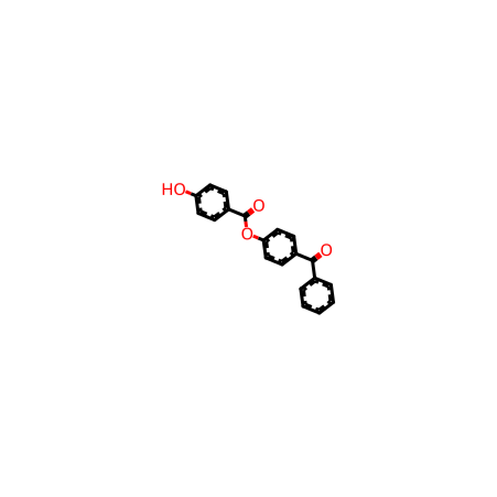 O=C(Oc1ccc(C(=O)c2ccccc2)cc1)c1ccc(O)cc1